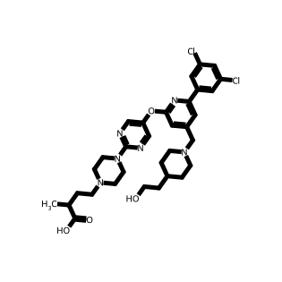 CC(CCN1CCN(c2ncc(Oc3cc(CN4CCC(CCO)CC4)cc(-c4cc(Cl)cc(Cl)c4)n3)cn2)CC1)C(=O)O